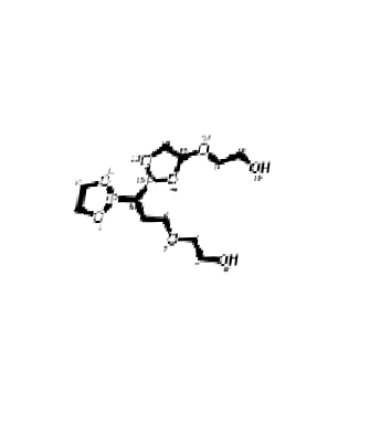 OCCOCCC(P1OCCO1)P1OCC(OCCO)O1